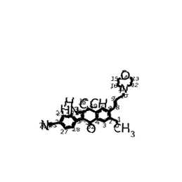 CCc1cc2c(cc1C=CCN1CCOCC1)C(C)(C)c1[nH]c3cc(C#N)ccc3c1C2=O